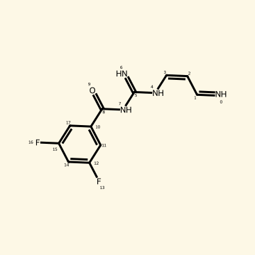 N=C/C=C\NC(=N)NC(=O)c1cc(F)cc(F)c1